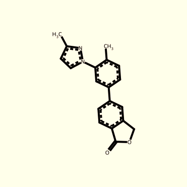 Cc1ccn(-c2cc(-c3ccc4c(c3)COC4=O)ccc2C)n1